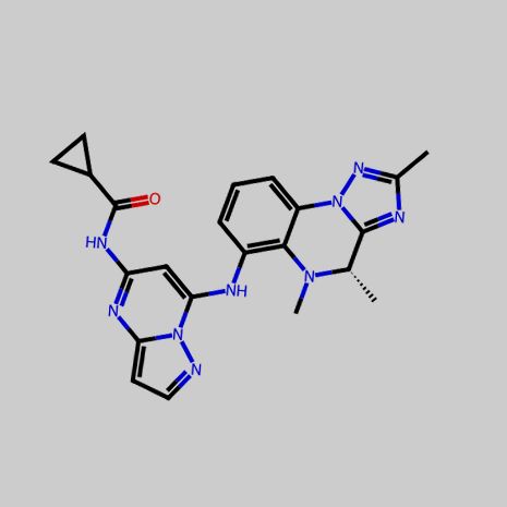 Cc1nc2n(n1)-c1cccc(Nc3cc(NC(=O)C4CC4)nc4ccnn34)c1N(C)[C@H]2C